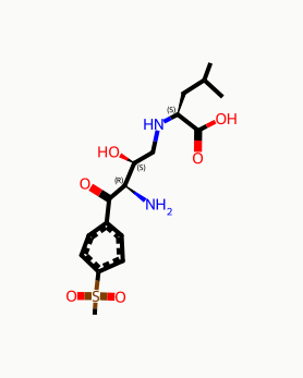 CC(C)C[C@H](NC[C@H](O)[C@@H](N)C(=O)c1ccc(S(C)(=O)=O)cc1)C(=O)O